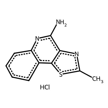 Cc1nc2c(N)nc3ccccc3c2s1.Cl